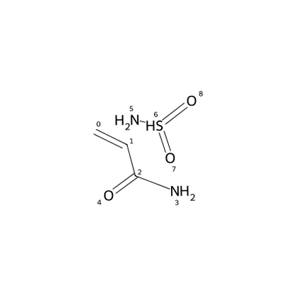 C=CC(N)=O.N[SH](=O)=O